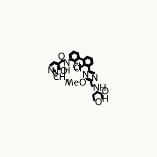 COc1nc(-c2cccc(-c3cccc(NC(=O)c4ccnn(C)c4=O)c3Cl)c2Cl)cnc1CN[C@@H]1CCOC[C@@H]1O